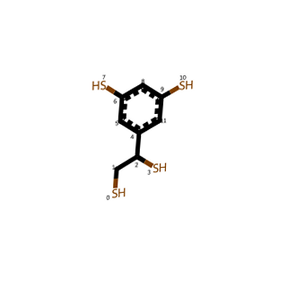 SCC(S)c1cc(S)cc(S)c1